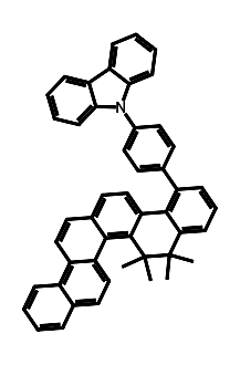 CC1(C)c2cccc(-c3ccc(-n4c5ccccc5c5ccccc54)cc3)c2-c2ccc3ccc4c5ccccc5ccc4c3c2C1(C)C